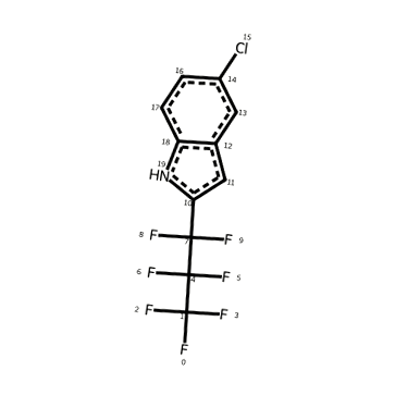 FC(F)(F)C(F)(F)C(F)(F)c1cc2cc(Cl)ccc2[nH]1